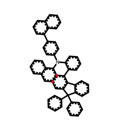 c1ccc(C2(c3ccccc3)c3ccccc3-c3c(-c4ccccc4N(c4ccc(-c5cccc6ccccc56)cc4)c4cccc5ccccc45)cccc32)cc1